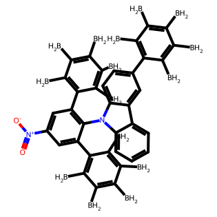 Bc1c(B)c(B)c(-c2ccc3c(c2)c2ccccc2n3-c2c(-c3c(B)c(B)c(B)c(B)c3B)cc([N+](=O)[O-])cc2-c2c(B)c(B)c(B)c(B)c2B)c(B)c1B